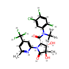 [2H]C([2H])([2H])N(C(=O)[C@@H]1[C@H](O)[C@](C)(O)C(=O)N1c1cc(C(F)(F)F)cc(C)n1)c1cc(Cl)c(F)cc1F